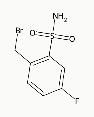 NS(=O)(=O)c1cc(F)ccc1CBr